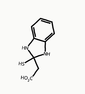 O=C(O)CC1(S)Nc2ccccc2N1